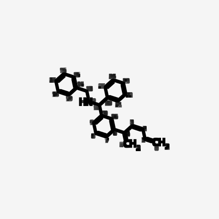 C=C/C=C\C(=C)c1cccc(C(NCc2ccccc2)c2ccccc2)c1